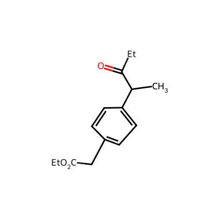 CCOC(=O)Cc1ccc(C(C)C(=O)CC)cc1